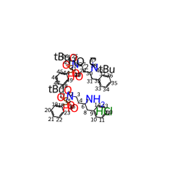 CC(C)(C)ON(C[C@@H](O)[C@@H](N)Cc1ccccc1)S(=O)(=O)c1ccccc1.CC(C)(C)ON(C[C@@H](O)[C@H](Cc1ccccc1)N(C(=O)O)C(C)(C)C)S(=O)(=O)c1ccccc1.Cl